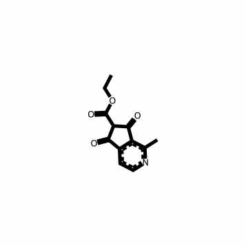 CCOC(=O)C1C(=O)c2ccnc(C)c2C1=O